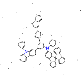 c1ccc(N(c2cc(-c3ccc(-c4ccc5ccccc5c4)cc3)cc(-c3ccc4c5ccccc5n(-c5ccccc5)c4c3)c2)c2ccc3c(c2)C2(c4ccccc4-c4ccccc42)c2ccccc2-3)cc1